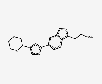 COCCn1ccc2cc(-c3ncn(C4CCCCO4)n3)ccc21